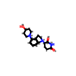 O=C1CC[C@@H](N2CCc3c(N4CCC(O)CC4)cccc32)C(=O)N1